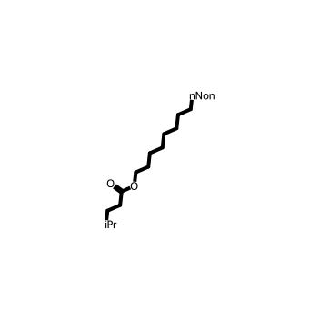 CCCCCCCCCCCCCCCCCOC(=O)CCC(C)C